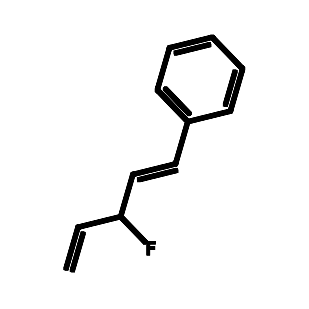 C=CC(F)C=Cc1ccccc1